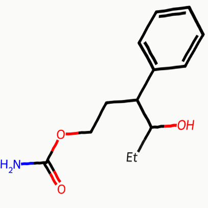 CCC(O)C(CCOC(N)=O)c1ccccc1